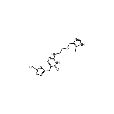 Cc1[nH]cnc1CSCCNc1ncc(Cc2cnc(Br)s2)c(=O)[nH]1